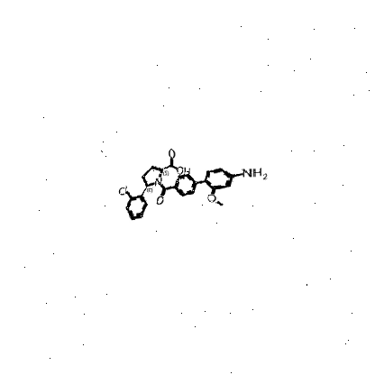 COc1cc(N)ccc1-c1ccc(C(=O)N2[C@@H](c3ccccc3Cl)CC[C@H]2C(=O)O)cc1